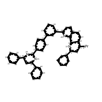 CC(C)c1cc(-c2ccccc2)nc2c1ccc1ccc(-c3cccc(-c4ccc(-c5nc(-c6ccccc6)cc(-c6ccccc6)n5)cc4)c3)nc12